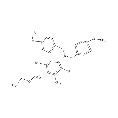 CCO/C=C/c1c(Br)cc(N(Cc2ccc(OC)cc2)Cc2ccc(OC)cc2)c(F)c1C